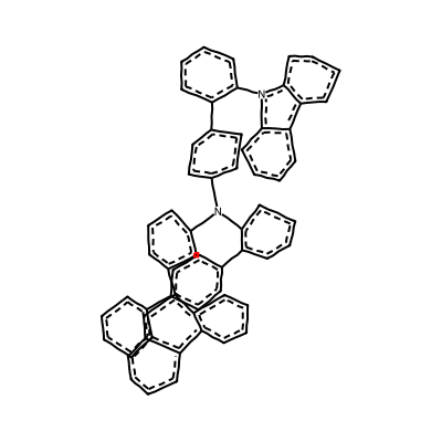 c1ccc(-c2ccc(-c3ccccc3N(c3ccc(-c4ccccc4-n4c5ccccc5c5ccccc54)cc3)c3cccc(-c4cc5ccccc5c5ccccc45)c3)cc2)cc1